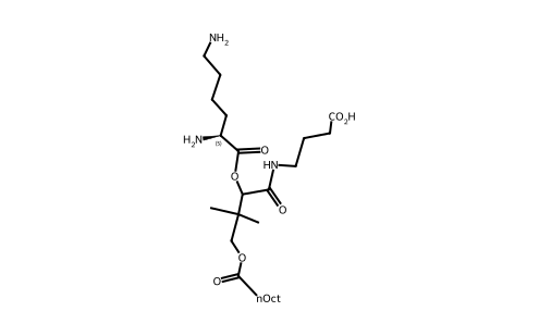 CCCCCCCCC(=O)OCC(C)(C)C(OC(=O)[C@@H](N)CCCCN)C(=O)NCCCC(=O)O